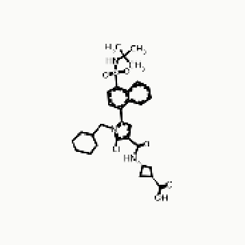 CC(C)(C)NS(=O)(=O)c1ccc(-c2cc(C(=O)N[C@H]3C[C@H](C(=O)O)C3)c(Cl)n2CC2CCCCC2)c2ccccc12